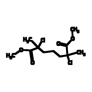 COC(=O)C(C)(Cl)CCCC(C)(Cl)C(=O)OC